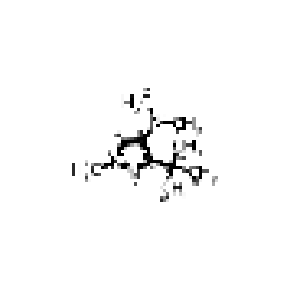 CN(C)c1cn(C)nc1C(C)(C)C